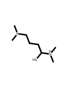 CN(C)CCCC(S)[SiH](C)C